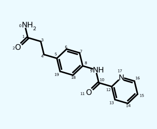 NC(=O)CCc1ccc(NC(=O)c2ccccn2)cc1